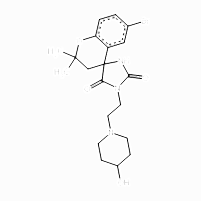 CC1(C)CC2(NC(=O)N(CCN3CCC(O)CC3)C2=O)c2cc(Br)ccc2O1